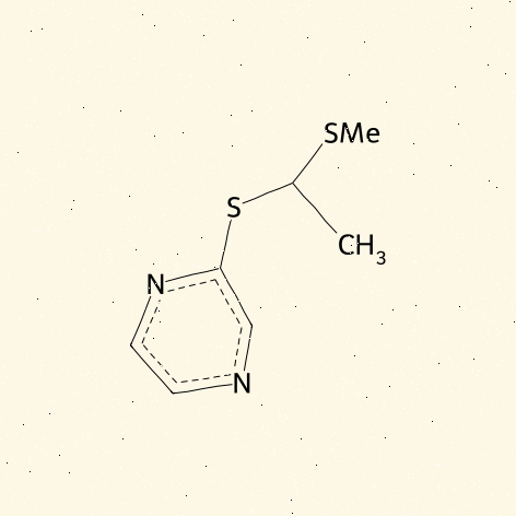 CSC(C)Sc1cnccn1